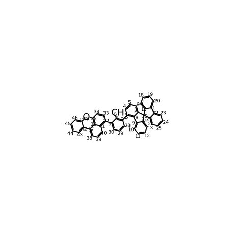 Cc1c(-c2cccc3c2-c2ccccc2C32c3ccccc3-c3ccccc32)cccc1-c1ccc2c3c(cccc13)-c1ccccc1O2